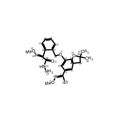 CC/C(=N\OC)c1cc2c(c(OCc3ccccc3/C(=N\OC)C(=O)NN)c1)OC(C)(C)C2